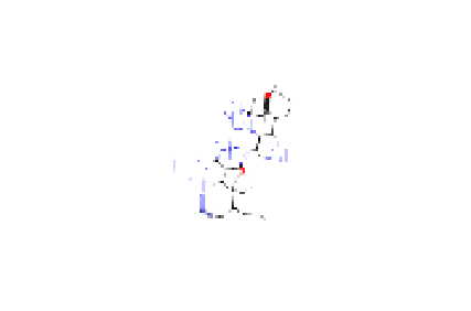 CCC[C@@H](C)C1(C)N=NCN1C1=C(NC(=O)C(C(N)N)C2NC/C(F)=C\C[C@@](C)(CCC)C2(CC)CC)CNCC1C1CCCCC1